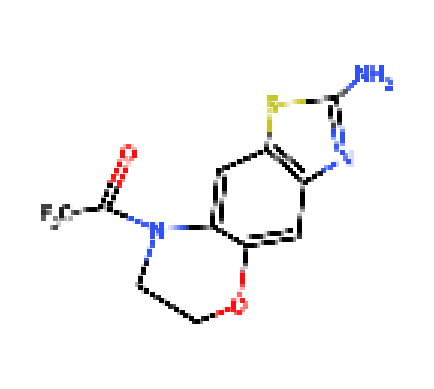 Nc1nc2cc3c(cc2s1)N(C(=O)C(F)(F)F)CCO3